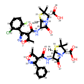 Cc1onc(-c2c(F)cccc2Cl)c1C(=O)N[C@@H]1C(=O)N2[C@@H]1SC(C)(C)[C@@H]2C(=O)O.Cc1onc(-c2ccccc2)c1C(=O)N[C@@H]1C(=O)N2[C@@H]1SC(C)(C)[C@@H]2C(=O)O